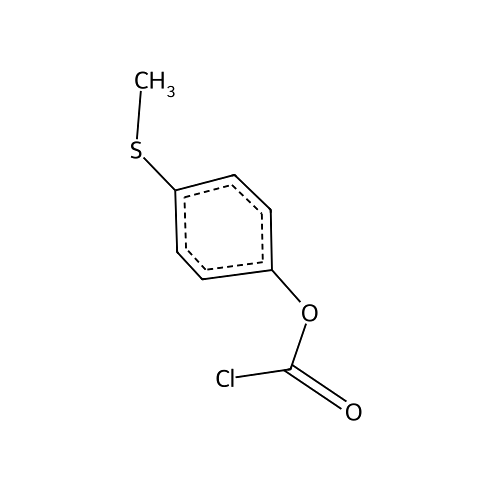 CSc1ccc(OC(=O)Cl)cc1